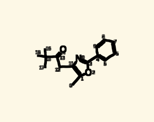 Cc1oc(-c2ccccc2)nc1CC(=O)C(C)(C)C